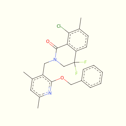 Cc1cc(C)c(CN2CC(F)(F)c3ccc(C)c(Cl)c3C2=O)c(OCc2ccccc2)n1